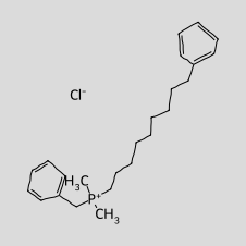 C[P+](C)(CCCCCCCCCc1ccccc1)Cc1ccccc1.[Cl-]